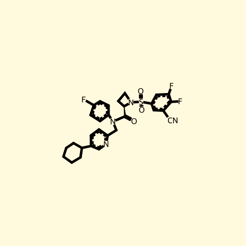 N#Cc1cc(S(=O)(=O)N2CC[C@@H]2C(=O)N(Cc2ccc(C3CCCCC3)cn2)c2ccc(F)cc2)cc(F)c1F